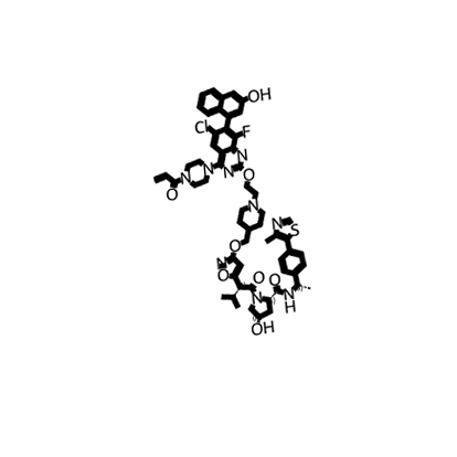 C=CC(=O)N1CCN(c2nc(OCCN3CCC(COc4cc([C@H](C(=O)N5C[C@H](O)C[C@H]5C(=O)N[C@@H](C)c5ccc(-c6scnc6C)cc5)C(C)C)on4)CC3)nc3c(F)c(-c4cc(O)cc5ccccc45)c(Cl)cc23)CC1